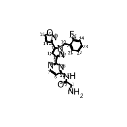 NCC(=O)Nc1ccnc(-c2cc(-c3ccon3)n(Cc3ccccc3F)n2)n1